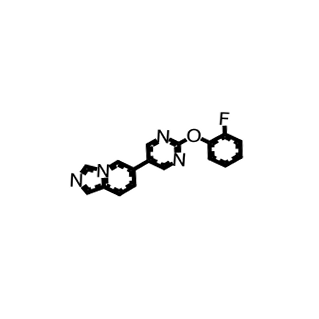 Fc1ccccc1Oc1ncc(-c2ccc3cncn3c2)cn1